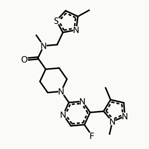 Cc1csc(CN(C)C(=O)C2CCN(c3ncc(F)c(-c4c(C)cnn4C)n3)CC2)n1